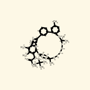 Cc1ccc2c(c1)-c1cccc(c1)-c1nc3c(C)c(C)c([C@H](OC(C)(C)C)C(=O)O)c(n3c1Cl)N1CCC(C)(CC1)OCCOC[C@H](C)O2